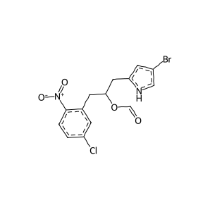 O=COC(Cc1cc(Br)c[nH]1)Cc1cc(Cl)ccc1[N+](=O)[O-]